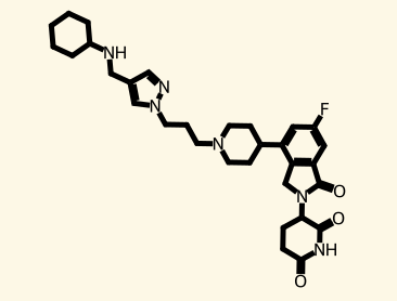 O=C1CCC(N2Cc3c(cc(F)cc3C3CCN(CCCn4cc(CNC5CCCCC5)cn4)CC3)C2=O)C(=O)N1